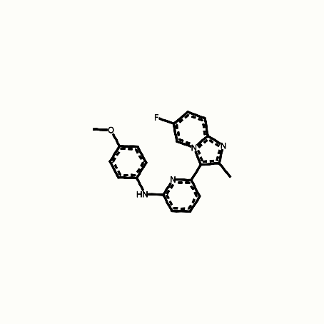 COc1ccc(Nc2cccc(-c3c(C)nc4ccc(F)cn34)n2)cc1